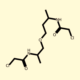 CC(CCOCC(C)NC(=O)CCl)NC(=O)CCl